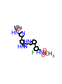 CC(C)(C)CC(=O)Nc1cncc(-c2ccc3[nH]nc(-c4cc5c(-c6cc(F)cc(CNS(C)(=O)=O)c6)cccc5[nH]4)c3c2)c1